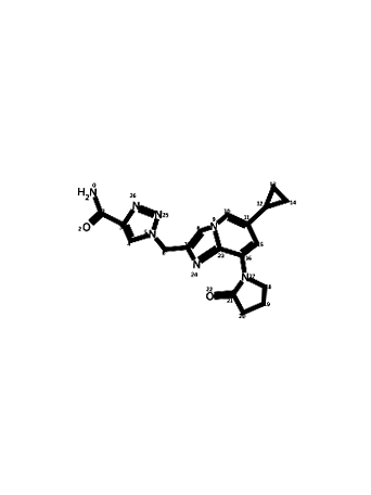 NC(=O)c1cn(Cc2cn3cc(C4CC4)cc(N4CCCC4=O)c3n2)nn1